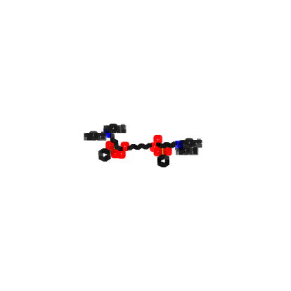 CCCCCCCCN(/C=C/C=C(/C(=O)OCCCCCCOC(=O)/C(=C/C=C/N(CCCCCCCC)CCCCCCCC)S(=O)(=O)c1ccccc1)S(=O)(=O)c1ccccc1)CCCCCCCC